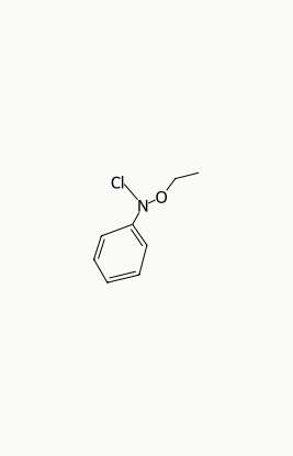 CCON(Cl)c1ccccc1